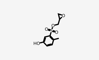 Cc1ccc(O)cc1S(=O)(=O)OCC1CO1